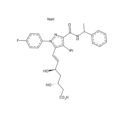 CC(C)c1c(C(=O)NC(C)c2ccccc2)nn(-c2ccc(F)cc2)c1C=C[C@H](O)C[C@@H](O)CC(=O)O.[NaH]